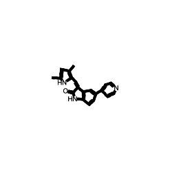 Cc1cc(C)c(/C=C2\C(=O)Nc3ccc(-c4ccncc4)cc32)[nH]1